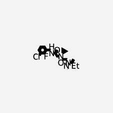 C=NN(CC(=O)N(CC(=O)NCc1cccc(Cl)c1F)C1CC1)C(=C)CC